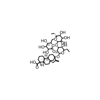 C=C1C[C@@]23CC[C@H]4[C@@](C)(CCC[C@@]4(C)C(=O)O)[C@@H]2CC[C@]1(OC1O[C@H](CC)C(O)C(OC2O[C@H](CC)C(O)C(O)[C@H]2O)[C@H]1O[C@@H]1OC(CC)[C@@H](O)C(O)C1O)C3